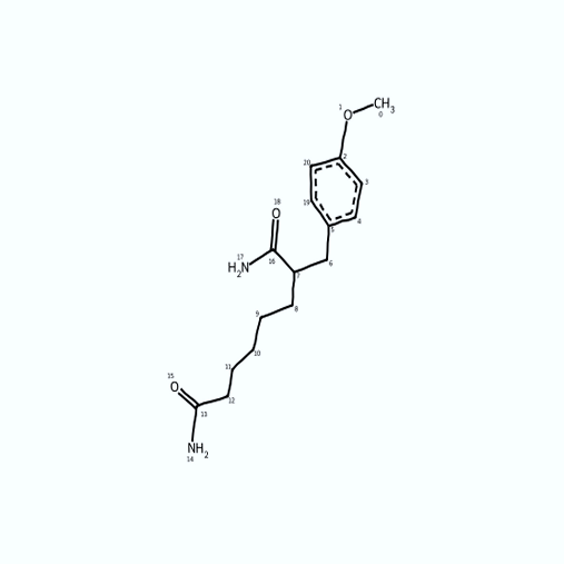 COc1ccc(CC(CCCCCC(N)=O)C(N)=O)cc1